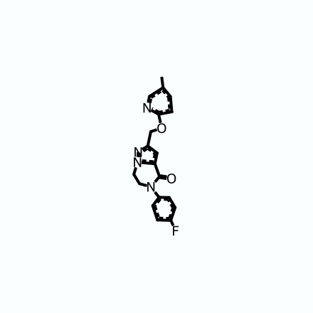 Cc1ccc(OCc2cc3n(n2)CCN(c2ccc(F)cc2)C3=O)nc1